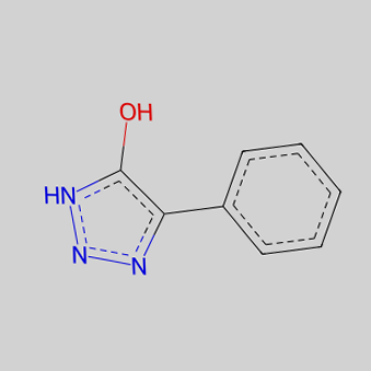 Oc1[nH]nnc1-c1ccccc1